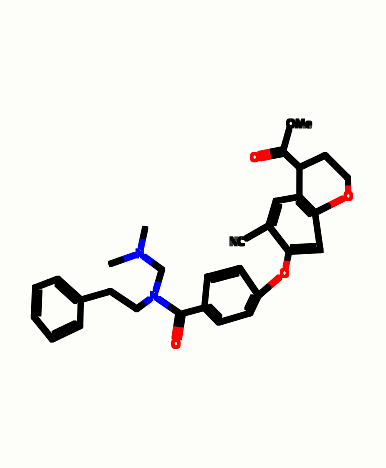 COC(=O)C1CCOc2cc(Oc3ccc(C(=O)N(CCc4ccccc4)CN(C)C)cc3)c(C#N)cc21